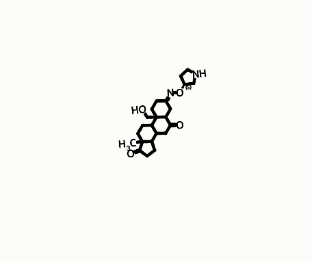 CC12CCC3C(CC(=O)C4CC(=NO[C@H]5CCNC5)CCC43CO)C1CCC2=O